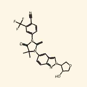 C=C1N(c2ccc(C#N)c(C(F)(F)F)c2)C(=O)C(C)(C)N1c1ccc2nn(C3COCC3O)cc2c1